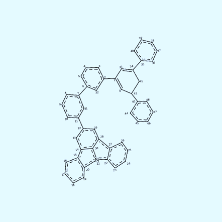 C1=C(c2cccc(-c3cccc(-c4cc5c6ccccc6n6c7ccccc7c(c4)c56)c3)c2)C=C(c2ccccc2)CC1c1ccccc1